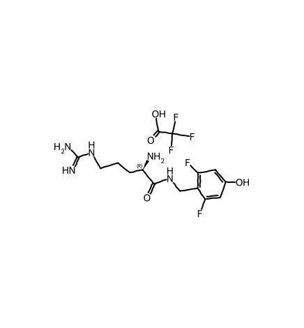 N=C(N)NCCC[C@@H](N)C(=O)NCc1c(F)cc(O)cc1F.O=C(O)C(F)(F)F